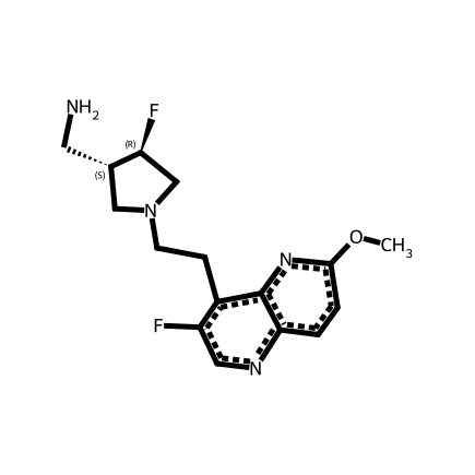 COc1ccc2ncc(F)c(CCN3C[C@H](CN)[C@@H](F)C3)c2n1